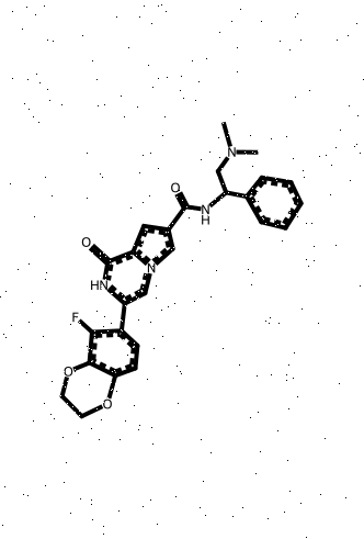 CN(C)CC(NC(=O)c1cc2c(=O)[nH]c(-c3ccc4c(c3F)OCCO4)cn2c1)c1ccccc1